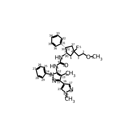 COCCC1(F)C[C@@H](NC(=O)Nc2c(C)c(-c3cnn(C)c3)nn2-c2ccccc2)[C@H](c2ccccc2)C1